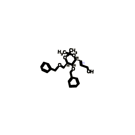 CC1(C)O[C@H](/C=C/CO)[C@H](OCc2ccccc2)[C@@H](COCc2ccccc2)O1